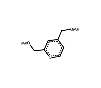 COCc1ccnc(COC)c1